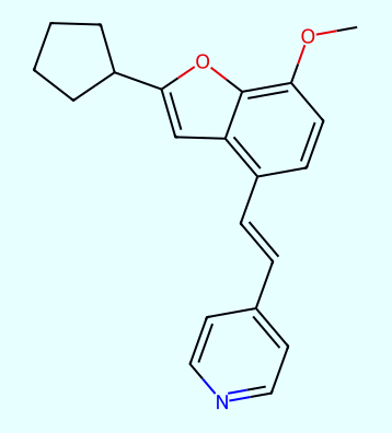 COc1ccc(/C=C/c2ccncc2)c2cc(C3CCCC3)oc12